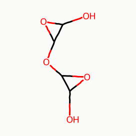 OC1OC1OC1OC1O